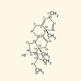 C=C1C=C[C@@]2(C)C(=C1)CCC1C2=CC[C@]2(C)/C(=C(\C)CC)[C@H](I)CC12